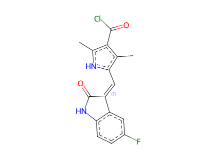 Cc1[nH]c(/C=C2\C(=O)Nc3ccc(F)cc32)c(C)c1C(=O)Cl